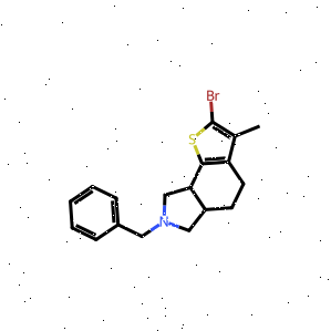 Cc1c(Br)sc2c1CCC1CN(Cc3ccccc3)CC21